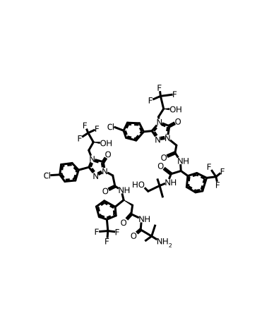 CC(C)(CO)NC(=O)C(NC(=O)Cn1nc(-c2ccc(Cl)cc2)n(C[C@H](O)C(F)(F)F)c1=O)c1cccc(C(F)(F)F)c1.CC(C)(N)C(=O)NC(=O)C[C@H](NC(=O)Cn1nc(-c2ccc(Cl)cc2)n(C[C@H](O)C(F)(F)F)c1=O)c1cccc(C(F)(F)F)c1